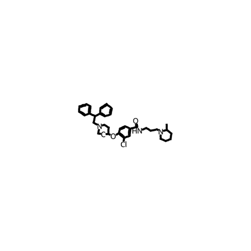 CC1CCCCN1CCCNC(=O)c1ccc(OC2CCN(CC(c3ccccc3)c3ccccc3)CC2)c(Cl)c1